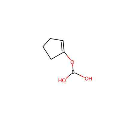 OB(O)OC1=CCCC1